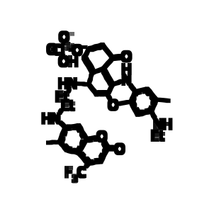 CCNc1cc2c(cc1C)NC1=C3C(=O)C=CC=C3C(NCC)C=C1O2.CCNc1cc2oc(=O)cc(C(F)(F)F)c2cc1C.[O-][Cl+3]([O-])([O-])O